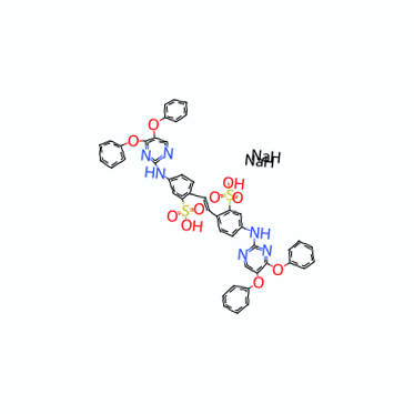 O=S(=O)(O)c1cc(Nc2ncc(Oc3ccccc3)c(Oc3ccccc3)n2)ccc1C=Cc1ccc(Nc2ncc(Oc3ccccc3)c(Oc3ccccc3)n2)cc1S(=O)(=O)O.[NaH].[NaH]